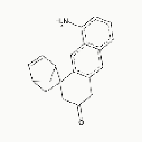 Nc1cccc2cc3c(cc12)C1(CC(=O)C3)CC2C=CC1C2